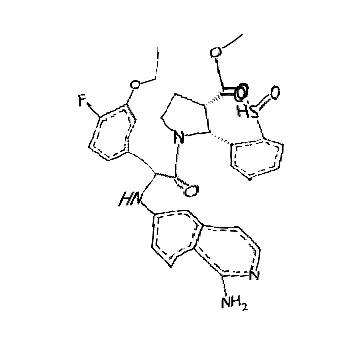 CCOc1cc(C(Nc2ccc3c(N)nccc3c2)C(=O)N2CC[C@H](C(=O)OC)[C@@H]2c2ccccc2[SH](=O)=O)ccc1F